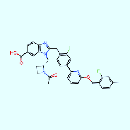 CC(=O)N1CC[C@@H]1Cn1c(Cc2ccc(-c3cccc(OCc4ccc(C)cc4F)n3)cc2F)nc2ccc(C(=O)O)cc21